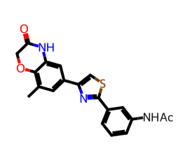 CC(=O)Nc1cccc(-c2nc(-c3cc(C)c4c(c3)NC(=O)CO4)cs2)c1